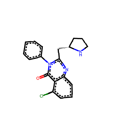 O=c1c2c(Cl)cccc2nc(C[C@@H]2CCCN2)n1-c1ccccc1